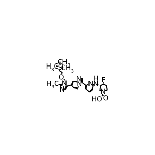 Cc1ncc(-c2ccn3c(-c4cccc(N[C@H]5CN(C(=O)O)CC[C@@H]5F)n4)cnc3c2)n1COCC[Si](C)(C)C